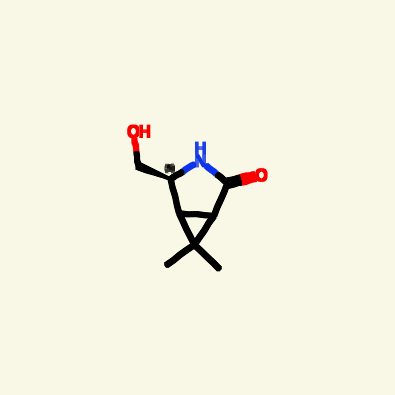 CC1(C)C2C(=O)N[C@H](CO)C21